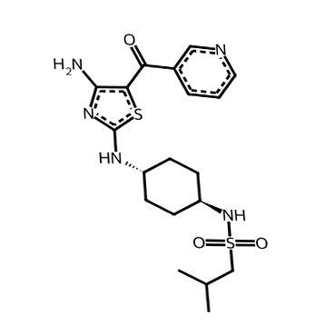 CC(C)CS(=O)(=O)N[C@H]1CC[C@H](Nc2nc(N)c(C(=O)c3cccnc3)s2)CC1